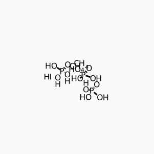 C.C.I.O=P(O)(O)O.O=P(O)(O)O.O=P(O)(O)O